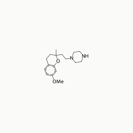 COc1ccc2c(c1)OC(C)(CCN1CCNCC1)CC2